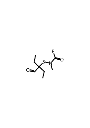 CCC(C=O)(CC)SN(C)C(=O)F